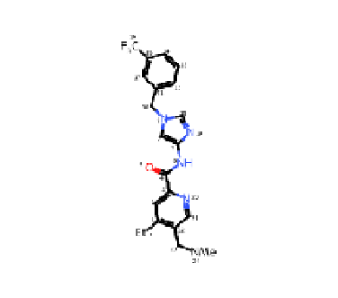 CCc1cc(C(=O)Nc2cn(Cc3cccc(C(F)(F)F)c3)cn2)ncc1CNC